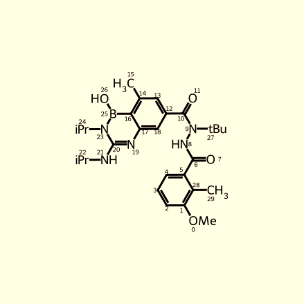 COc1cccc(C(=O)NN(C(=O)c2cc(C)c3c(c2)N=C(NC(C)C)N(C(C)C)B3O)C(C)(C)C)c1C